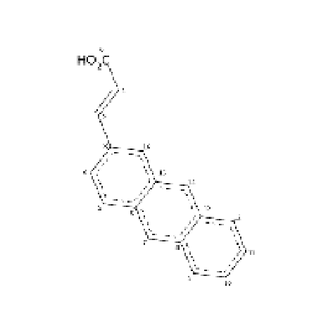 O=C(O)C=Cc1ccc2cc3ccccc3cc2c1